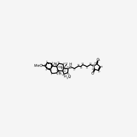 COc1ccc2c(c1)CC[C@@H]1[C@@H]2CC[C@]2(C)[C@@H](NCCCCCCN3C(=O)C=CC3=O)CC[C@@H]12.O